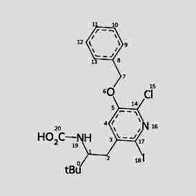 CC(C)(C)C(Cc1cc(OCc2ccccc2)c(Cl)nc1I)NC(=O)O